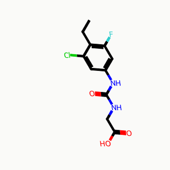 CCc1c(F)cc(NC(=O)NCC(=O)O)cc1Cl